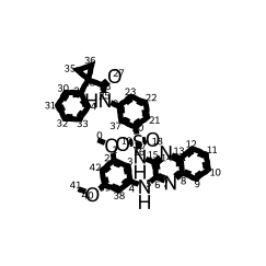 COc1cc(Nc2nc3ccccc3nc2NS(=O)(=O)c2cccc(NC(=O)C3(c4ccccc4)CC3)c2)cc(OC)c1